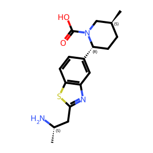 C[C@H]1CC[C@H](c2ccc3sc(C[C@H](C)N)nc3c2)N(C(=O)O)C1